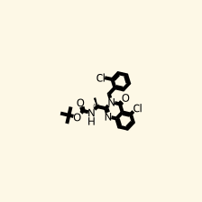 C[C@H](NC(=O)OC(C)(C)C)c1nc2cccc(Cl)c2c(=O)n1Cc1ccccc1Cl